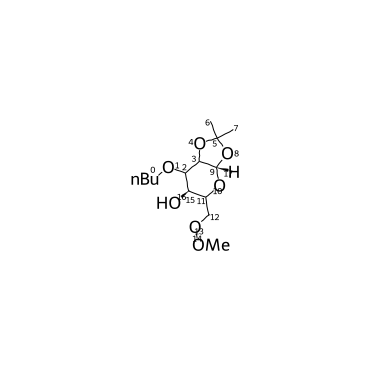 CCCCOC1C2OC(C)(C)O[C@@H]2OC(COOC)[C@H]1O